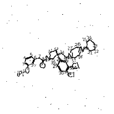 CC(C)Oc1cccc(CC(=O)N2CCC(CCN3CCN(C4CCCCC4)CC3)(c3ccc(Cl)c(Cl)c3)C2)c1